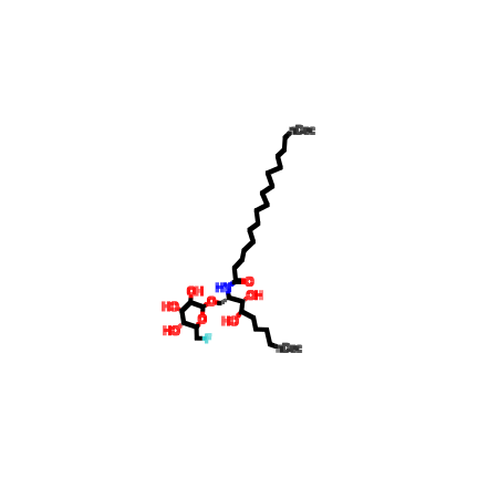 CCCCCCCCCCCCCCCCCCCCCCCCCC(=O)N[C@@H](CO[C@H]1OC(CF)[C@H](O)[C@H](O)C1O)[C@H](O)[C@H](O)CCCCCCCCCCCCCC